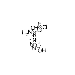 C[C@@H]1CC(O)c2ncnc(N3CCN(C(c4ccc(Cl)c(F)c4)[C@@H](N)C=O)C[C@@H]3C)c21